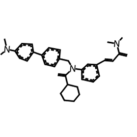 C=C(/C=C/c1cccc(N(Cc2ccc(-c3ccc(N(C)C)cc3)cc2)C(=C)C2CCCCC2)c1)N(C)C